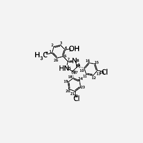 Cc1ccc(O)c(C2=N[C@H](c3ccc(Cl)cc3)[C@H](c3ccc(Cl)cc3)N2)c1